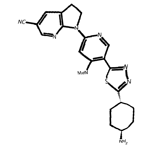 CNc1cc(N2CCc3cc(C#N)cnc32)ncc1-c1nnc([C@H]2CC[C@H](N)CC2)s1